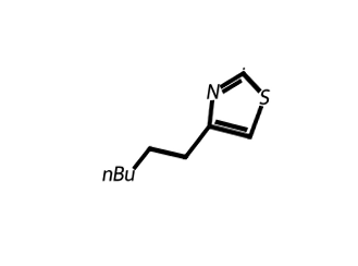 CCCCCCc1cs[c]n1